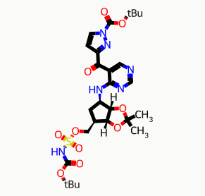 CC(C)(C)OC(=O)NS(=O)(=O)OC[C@H]1C[C@@H](Nc2ncncc2C(=O)c2ccn(C(=O)OC(C)(C)C)n2)[C@@H]2OC(C)(C)O[C@H]12